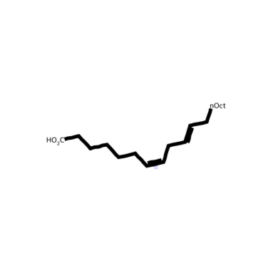 CCCCCCCCCC=CC/C=C\CCCCCC(=O)O